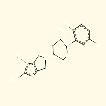 CCn1c(C=O)nc2c1CN([C@H]1CO[C@H](c3cc(F)ccc3F)[C@@H](N)C1)C2